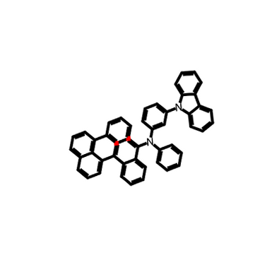 c1ccc(-c2cccc3cccc(-c4ccc(N(c5ccccc5)c5cccc(-n6c7ccccc7c7ccccc76)c5)c5ccccc45)c23)cc1